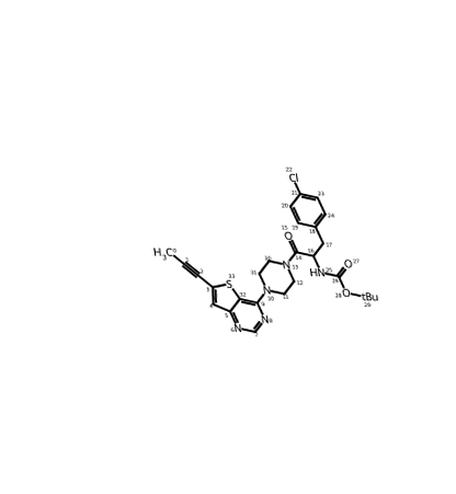 CC#Cc1cc2ncnc(N3CCN(C(=O)C(Cc4ccc(Cl)cc4)NC(=O)OC(C)(C)C)CC3)c2s1